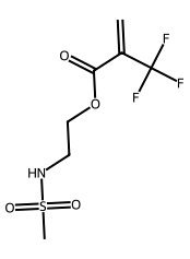 C=C(C(=O)OCCNS(C)(=O)=O)C(F)(F)F